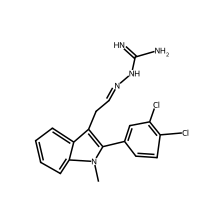 Cn1c(-c2ccc(Cl)c(Cl)c2)c(CC=NNC(=N)N)c2ccccc21